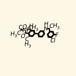 Cc1cc(-c2cccc(NC(C)c3ccc(Cl)c(F)c3)c2)cc(C)c1C(=O)N[C@@H](C)C(=O)O